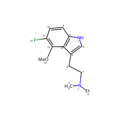 CCN(C)CCc1c[nH]c2ccc(F)c(OC)c12